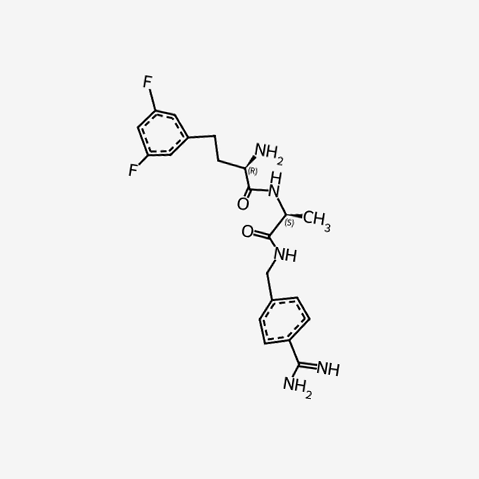 C[C@H](NC(=O)[C@H](N)CCc1cc(F)cc(F)c1)C(=O)NCc1ccc(C(=N)N)cc1